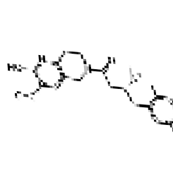 N[C@@H](CC(=O)N1CCc2nc(O)c(C=O)cc2C1)Cc1cc(F)ccc1F